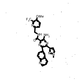 COc1ccc(CNC(=O)c2nc(-c3ccc4ncccc4c3)c(-c3ccn(C)n3)nc2N)nc1C(F)(F)F